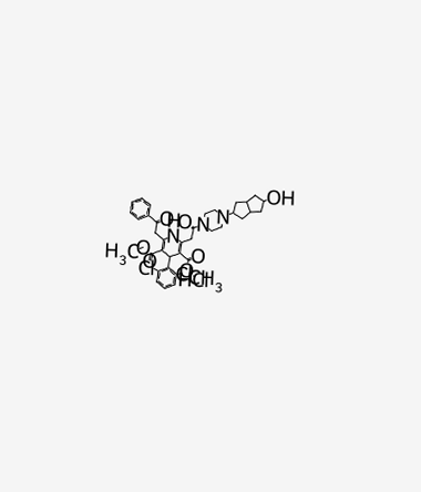 COC(=O)C1=C(CC(=O)c2ccccc2)NC(CC(=O)N2CCN(C3CC4CC(O)CC4C3)CC2)=C(C(=O)OC)C1c1c(Cl)cccc1Cl.Cl